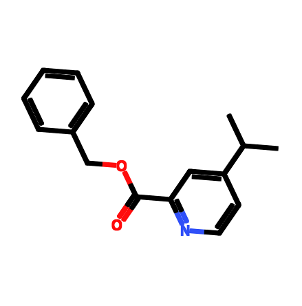 CC(C)c1ccnc(C(=O)OCc2ccccc2)c1